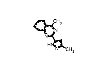 Cc1cc(-c2nc(C)c3ccccc3n2)[nH]n1